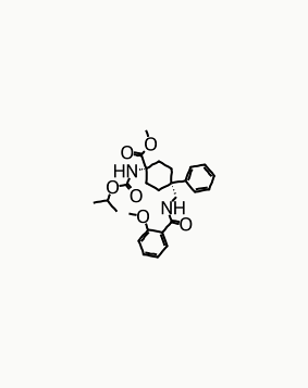 COc1ccccc1C(=O)NC[C@]1(c2ccccc2)CC[C@@](NC(=O)OC(C)C)(C(=O)OC)CC1